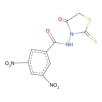 O=C(NN1C(=O)CSC1=S)c1cc([N+](=O)[O-])cc([N+](=O)[O-])c1